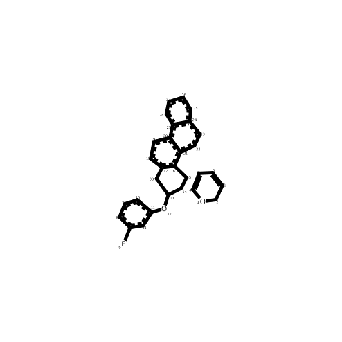 C1=CCOC=C1.Fc1cccc(OC2CCc3c(ccc4c3ccc3ccccc34)C2)c1